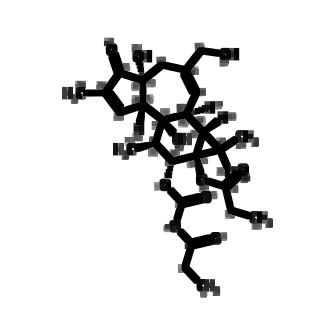 CCC(=O)OC(=O)O[C@@H]1[C@@H](C)[C@@]2(O)[C@@H](C=C(CO)C[C@]3(O)C(=O)C(C)=C[C@@H]23)[C@@H]2C(C)(C)[C@]12OC(=O)CC